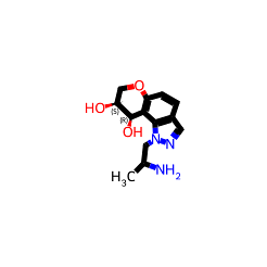 CC(N)Cn1ncc2ccc3c(c21)[C@@H](O)[C@@H](O)CO3